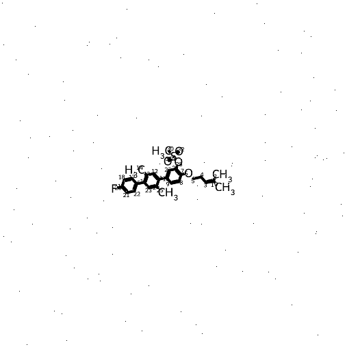 CC(C)=CCCOc1ccc(-c2cc(C)c(-c3ccc(F)cc3)cc2C)cc1OS(C)(=O)=O